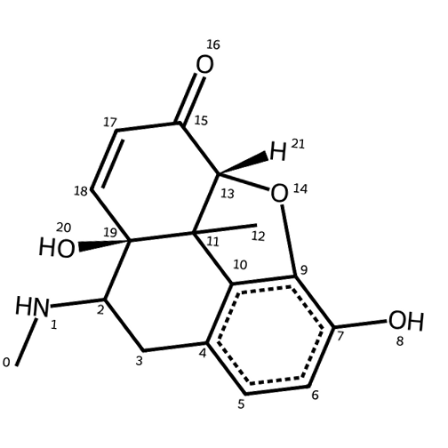 CNC1Cc2ccc(O)c3c2C2(C)[C@@H](O3)C(=O)C=C[C@@]12O